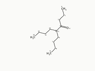 CC[CH]C(=O)N(CCCC)CCCC